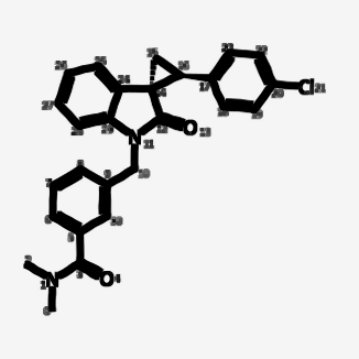 CN(C)C(=O)c1cccc(CN2C(=O)[C@@]3(C[C@H]3c3ccc(Cl)cc3)c3ccccc32)c1